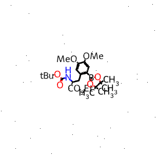 CCOC(=O)[C@H](Cc1cc(OC)c(OC)cc1B1OC(C)(C)C(C)(C)O1)NC(=O)OC(C)(C)C